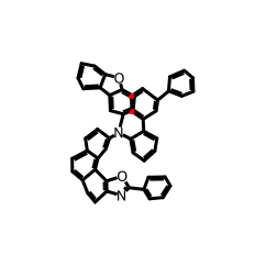 c1ccc(-c2cccc(-c3ccccc3N(c3ccc4oc5ccccc5c4c3)c3ccc4ccc5ccc6nc(-c7ccccc7)oc6c5c4c3)c2)cc1